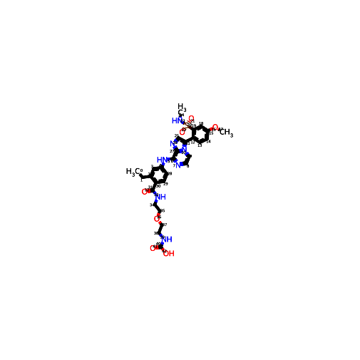 CCc1cc(Nc2nccn3c(-c4ccc(OC)cc4S(=O)(=O)NC)cnc23)ccc1C(=O)NCCOCCNC(=O)O